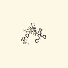 C[C@H]1[C@H](c2ccc(Cl)cc2)SC(=O)N1C(=O)NC1CCCCC1.FC(F)(F)/N=C1\S/C(=N\c2ccccc2)N(c2ccccc2)\C1=N\C(F)(F)F.NC(=O)S